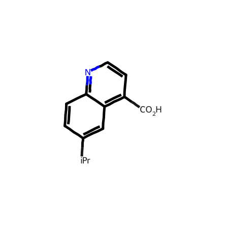 CC(C)c1ccc2nccc(C(=O)O)c2c1